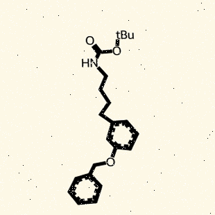 CC(C)(C)OC(=O)NCCCCc1cccc(OCc2ccccc2)c1